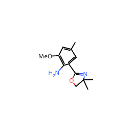 COc1cc(C)cc(C2=NC(C)(C)CO2)c1N